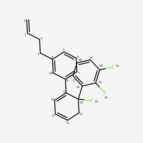 C=CCCc1cccc(C2=CC=CCC2(F)c2cccc(F)c2F)c1